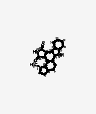 Cn1ccc2ccc3c4[nH]c5ccccc5c4c4c(c3c21)C(=O)NC4=O